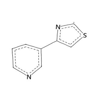 [c]1nc(-c2cccnc2)cs1